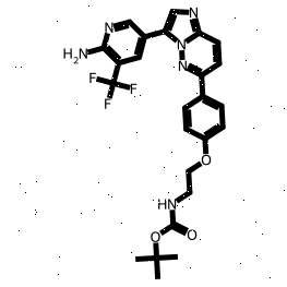 CC(C)(C)OC(=O)NCCOc1ccc(-c2ccc3ncc(-c4cnc(N)c(C(F)(F)F)c4)n3n2)cc1